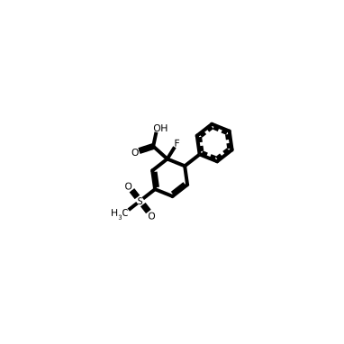 CS(=O)(=O)C1=CC(F)(C(=O)O)C(c2ccccc2)C=C1